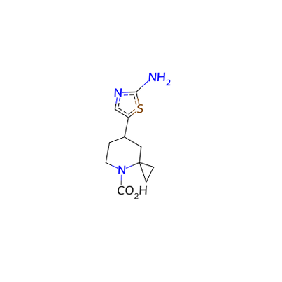 Nc1ncc(C2CCN(C(=O)O)C3(CC3)C2)s1